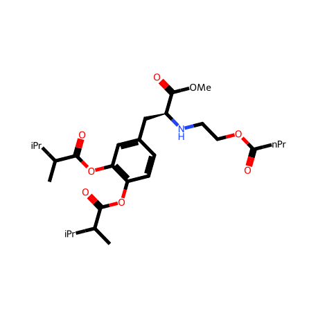 CCCC(=O)OCCN[C@@H](Cc1ccc(OC(=O)C(C)C(C)C)c(OC(=O)C(C)C(C)C)c1)C(=O)OC